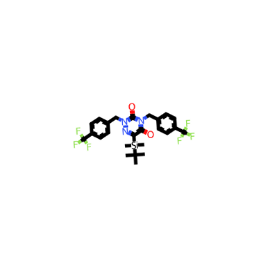 CC(C)(C)[Si](C)(C)c1nn(Cc2ccc(C(F)(F)F)cc2)c(=O)n(Cc2ccc(C(F)(F)F)cc2)c1=O